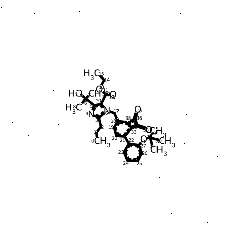 CCCc1nc(C(C)(C)O)c(C(=O)OCC)n1Cc1ccc(-c2ccccc2OC(C)(C)C)c2c(=O)c(=O)c12